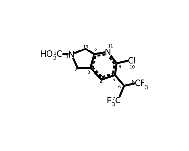 O=C(O)N1Cc2cc(C(C(F)(F)F)C(F)(F)F)c(Cl)nc2C1